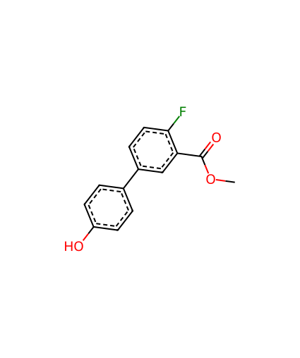 COC(=O)c1cc(-c2ccc(O)cc2)ccc1F